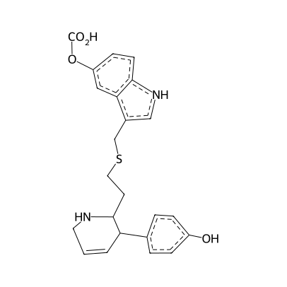 O=C(O)Oc1ccc2[nH]cc(CSCCC3NCC=CC3c3ccc(O)cc3)c2c1